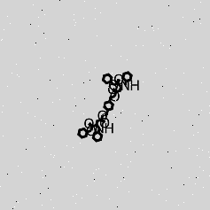 O=C(CC(NC1CCCCC1)C(=O)OC1CCCCC1)OCC1CCC(COC(=O)CC(NC2CCCCC2)C(=O)OC2CCCCC2)CC1